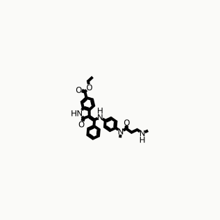 CCOC(=O)c1ccc2c(c1)NC(=O)C2=C(Nc1ccc(N(C)C(=O)CCNC)cc1)c1ccccc1